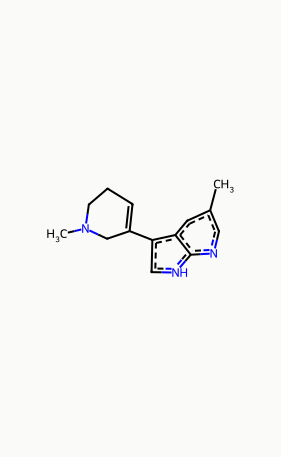 Cc1cnc2[nH]cc(C3=CCCN(C)C3)c2c1